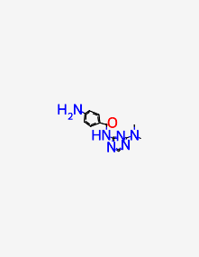 CN(C)c1ncnc(NC(=O)c2ccc(N)cc2)n1